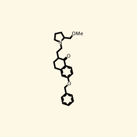 COCC1CCCN1CCC1CCc2cc(OCc3ccccc3)ccc2C1=O